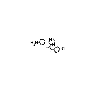 C[C@@H](c1ccc(Cl)cc1)N(C)c1nccnc1-c1ccc(N)cc1